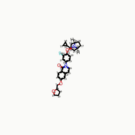 O=c1c2ccc(OCC3CCCO3)cc2ccn1-c1ccc(OC2C[C@H]3CC[C@@H](C2)N3CC2CC2)c(F)c1